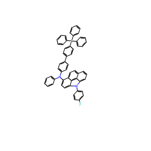 Fc1ccc(-n2c3cccc4ccc5c(N(c6ccccc6)c6ccc(-c7ccc([Si](c8ccccc8)(c8ccccc8)c8ccccc8)cc7)cc6)ccc2c5c43)cc1